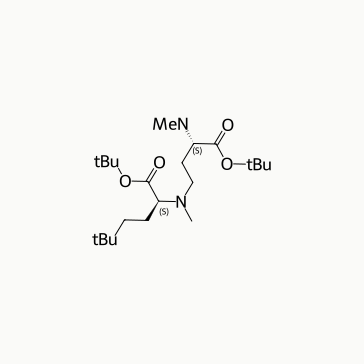 CN[C@@H](CCN(C)[C@@H](CCC(C)(C)C)C(=O)OC(C)(C)C)C(=O)OC(C)(C)C